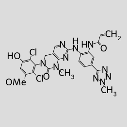 C=CC(=O)Nc1cc(-c2nnn(C)n2)ccc1Nc1ncc2c(n1)N(C)C(=O)N(c1c(Cl)c(O)cc(OC)c1Cl)C2